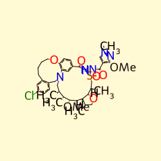 COc1nn(C)cc1C(=O)NS1(=O)=NC(=O)c2ccc3c(c2)N(Cc2ccc(Cl)cc2CCCCO3)C[C@H](C)[C@@H](C)[C@@H](OC)C[C@@H]2[C@H](OC[C@H]2C)[C@H](C)C1